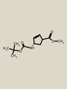 COC(=O)C1C=C[C@@H](NC(=O)OC(C)(C)C)C1